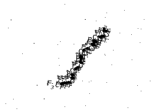 [CH2]C(F)(F)OC(F)(F)C(F)(F)OC(F)(F)C(F)(F)OC(F)(F)C(F)(F)OC(F)(F)C(F)(F)OC(F)(F)C(F)(F)OC(F)(F)C(F)(F)OC(F)(F)C(F)(F)C(F)(F)C(F)(F)F